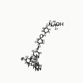 CN(Cc1ccc(COc2ccc(C#Cc3ccc(C(F)(F)C(O)(Cn4cnnn4)c4ccc(F)cc4F)nc3)cc2)cc1)CC(C)(C)O